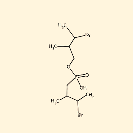 CC(C)C(C)C(C)COP(=O)(O)CC(C)C(C)C(C)C